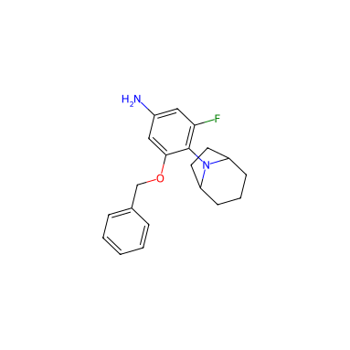 Nc1cc(F)c(N2C3CCCC2CC3)c(OCc2ccccc2)c1